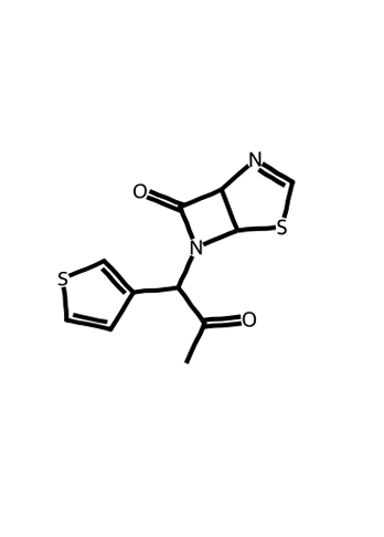 CC(=O)C(c1ccsc1)N1C(=O)C2N=CSC21